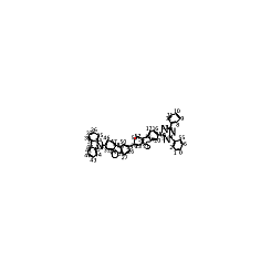 c1ccc(-c2nc(-c3ccccc3)nc(-c3ccc4c(c3)sc3cc(-c5ccc6oc7cc(-n8c9ccccc9c9ccccc98)ccc7c6c5)ccc34)n2)cc1